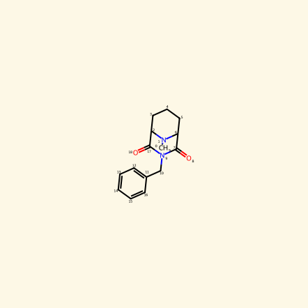 CN1C2CCCC1C(=O)N(Cc1ccccc1)C2=O